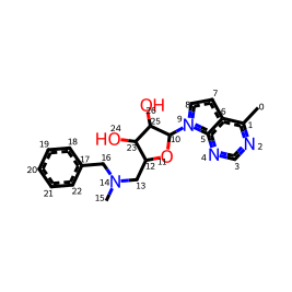 Cc1ncnc2c1ccn2C1OC(CN(C)Cc2ccccc2)C(O)C1O